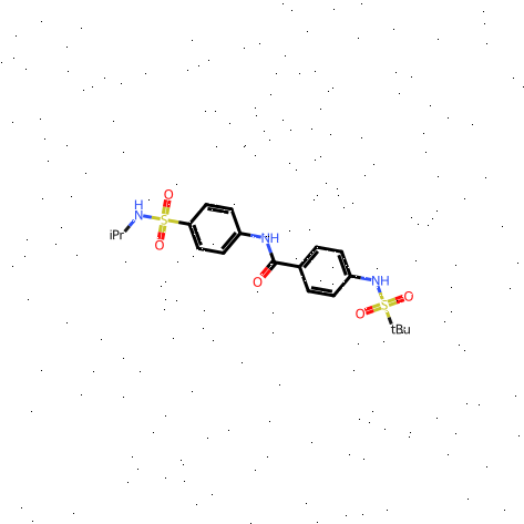 CC(C)NS(=O)(=O)c1ccc(NC(=O)c2ccc(NS(=O)(=O)C(C)(C)C)cc2)cc1